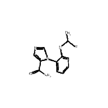 CC(F)Oc1ccccc1-n1cncc1C(N)=O